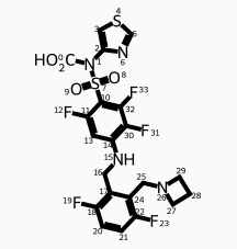 O=C(O)N(c1cscn1)S(=O)(=O)c1c(F)cc(NCc2c(F)ccc(F)c2CN2CCC2)c(F)c1F